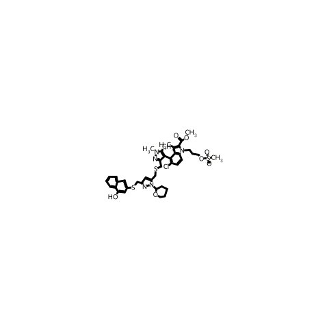 COC(=O)c1c(C)c2c(-c3c(CSCc4cc(CSc5cc(O)c6ccccc6c5)nn4C4CCCCO4)nn(C)c3C)c(Cl)ccc2n1CCCOS(C)(=O)=O